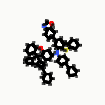 c1ccc(-c2ccc(N(c3ccc4c(c3)Oc3ccccc3C43c4ccccc4-c4cc(-c5ccccc5)ccc43)c3cc(-c4ccc5ncoc5c4)cc4c3sc3ccccc34)cc2)cc1